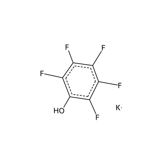 Oc1c(F)c(F)c(F)c(F)c1F.[K]